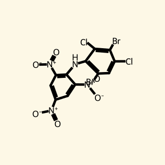 O=[N+]([O-])c1cc([N+](=O)[O-])c(Nc2c(Br)cc(Cl)c(Br)c2Cl)c([N+](=O)[O-])c1